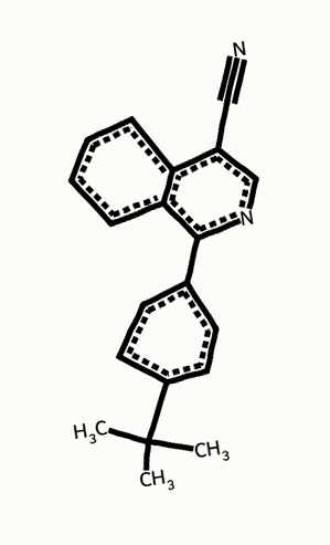 CC(C)(C)c1ccc(-c2ncc(C#N)c3ccccc23)cc1